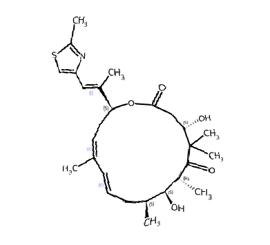 CC1=C/C[C@@H](/C(C)=C/c2csc(C)n2)OC(=O)C[C@H](O)C(C)(C)C(=O)[C@H](C)[C@@H](O)[C@@H](C)C\C=C\1